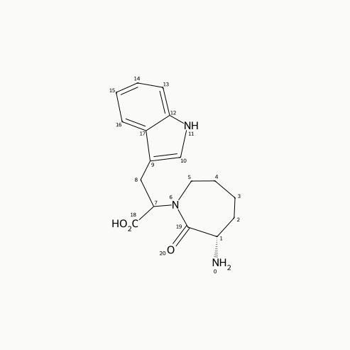 N[C@H]1CCCCN(C(Cc2c[nH]c3ccccc23)C(=O)O)C1=O